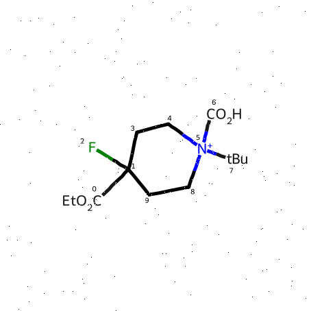 CCOC(=O)C1(F)CC[N+](C(=O)O)(C(C)(C)C)CC1